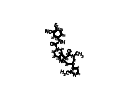 CN1CC(c2ccnn2C)Cn2nc3c(c2C1=O)CN(C(=O)Nc1ccc(F)c(C#N)c1)CC3